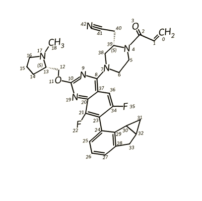 C=CC(=O)N1CCN(c2nc(OC[C@@H]3CCCN3C)nc3c(F)c(-c4cccc5c4C4CC4C5)c(F)cc23)C[C@@H]1CC#N